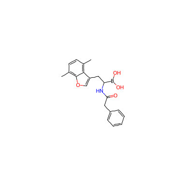 Cc1ccc(C)c2c(CC(NC(=O)Cc3ccccc3)B(O)O)coc12